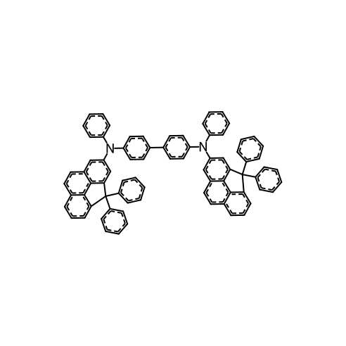 c1ccc(N(c2ccc(-c3ccc(N(c4ccccc4)c4cc5c6c(ccc7cccc(c76)C5(c5ccccc5)c5ccccc5)c4)cc3)cc2)c2cc3c4c(ccc5cccc(c54)C3(c3ccccc3)c3ccccc3)c2)cc1